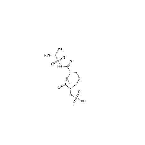 CC(N)S(=O)(=O)NC(=N)C1CCC2CN1C(=O)N2OS(=O)(=O)O